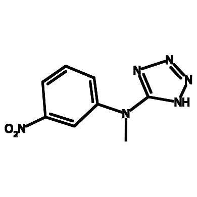 CN(c1cccc([N+](=O)[O-])c1)c1nnn[nH]1